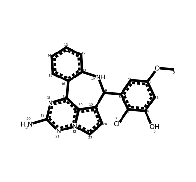 COc1cc(O)c(Cl)c(C2Nc3ccccc3-c3nc(N)nn4ccc2c34)c1